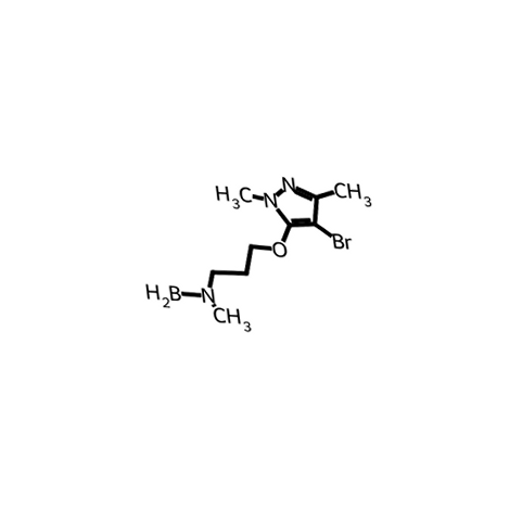 BN(C)CCCOc1c(Br)c(C)nn1C